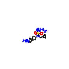 NS(=O)(=O)N(CC1CC1)C1CC2(CNC2)C1